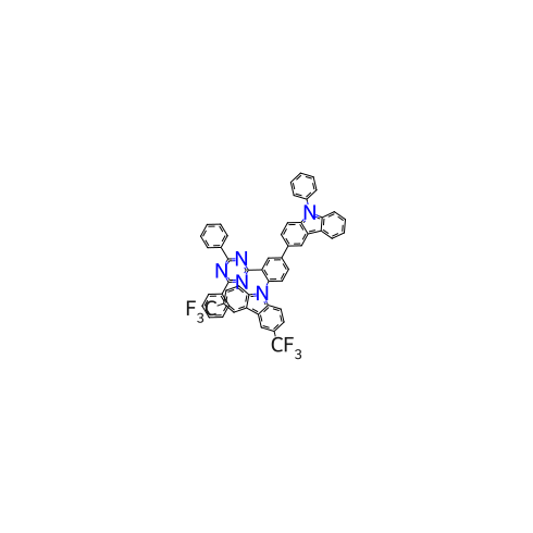 FC(F)(F)c1ccc2c(c1)c1cc(C(F)(F)F)ccc1n2-c1ccc(-c2ccc3c(c2)c2ccccc2n3-c2ccccc2)cc1-c1nc(-c2ccccc2)nc(-c2ccccc2)n1